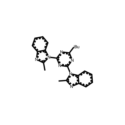 CCC(C)c1nc(-n2c(C)nc3ccccc32)nc(-n2c(C)nc3ccccc32)n1